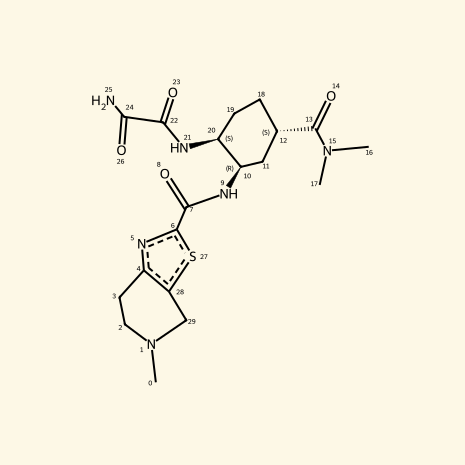 CN1CCc2nc(C(=O)N[C@@H]3C[C@@H](C(=O)N(C)C)CC[C@@H]3NC(=O)C(N)=O)sc2C1